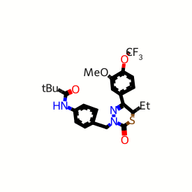 CCC1SC(=O)N(Cc2ccc(NC(=O)C(C)(C)C)cc2)N=C1c1ccc(OC(F)(F)F)c(OC)c1